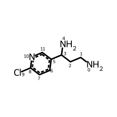 NCCC(N)c1ccc(Cl)nc1